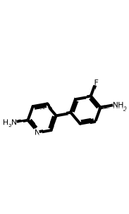 Nc1ccc(-c2ccc(N)c(F)c2)cn1